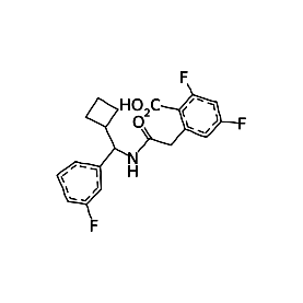 O=C(Cc1cc(F)cc(F)c1C(=O)O)NC(c1cccc(F)c1)C1CCC1